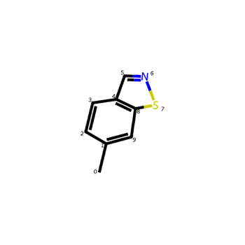 Cc1ccc2cnsc2c1